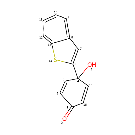 O=C1C=CC(O)(c2cc3ccccc3s2)C=C1